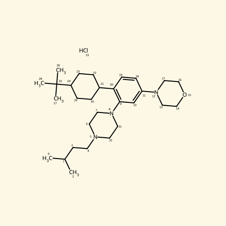 CC(C)CCN1CCN(c2cc(N3CCOCC3)ccc2C2CCC(C(C)(C)C)CC2)CC1.Cl